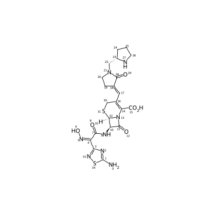 Nc1nc(/C(=N/O)C(=O)N[C@@H]2C(=O)N3C(C(=O)O)=C(/C=C4\CCN(C[C@@H]5CCCN5)C4=O)CS[C@H]23)ns1